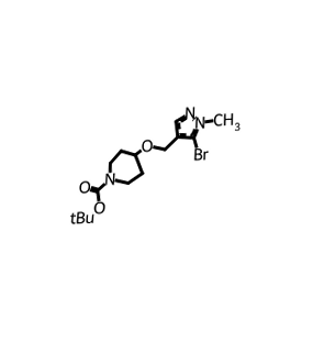 Cn1ncc(COC2CCN(C(=O)OC(C)(C)C)CC2)c1Br